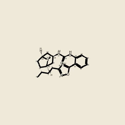 CCCCc1noc(-c2ccccc2NC(=O)N[C@H]2C[C@H]3CC[C@@H](C2)N3C)n1